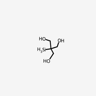 OCC([SiH3])(CO)CO